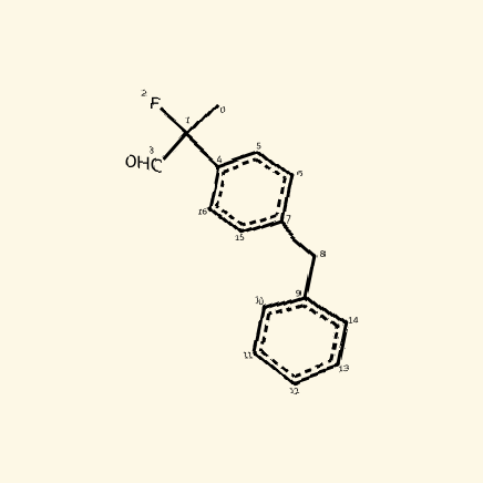 CC(F)(C=O)c1ccc(Cc2ccccc2)cc1